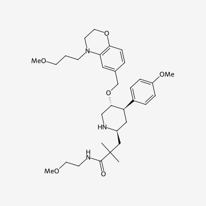 COCCCN1CCOc2ccc(CO[C@H]3CN[C@H](CC(C)(C)C(=O)NCCOC)C[C@@H]3c3ccc(OC)cc3)cc21